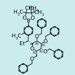 CCC(c1ccc(B2OC(C)(C)C(C)(C)O2)cc1C)[C@H]1O[C@H](COCc2ccccc2)[C@@H](OCc2ccccc2)[C@H](OCc2ccccc2)[C@@H]1OCc1ccccc1